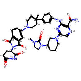 CN1CCN([C@@H]2CCCN(c3cnc(C(N)=O)c(Nc4ccc(C5(C)CCN(c6ccc7c(c6)C(=O)N(C6CCC(=O)NC6=O)C7=O)CC5)cc4)n3)C2)C1=O